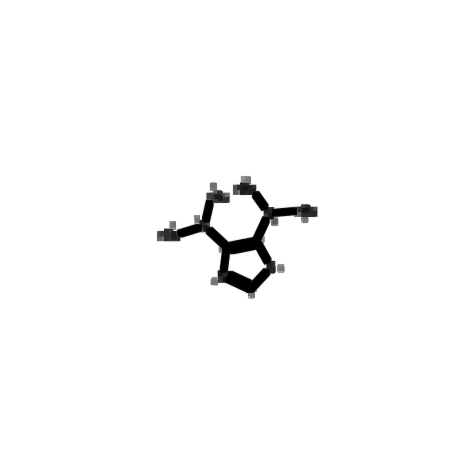 CCCCN(CCCC)c1n[c]sc1N(CCCC)CCCC